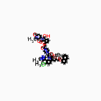 Cc1nn(C)c(C)c1-c1c(Cl)ccc2c(CCCOc3cccc4ccccc34)c(C(=O)OC(C)(C)C)n(CCN3CCN(C(=O)COc4cccc5c4C(=O)N(C4CCC(=O)N(C)C4=O)C5O)CC3)c12